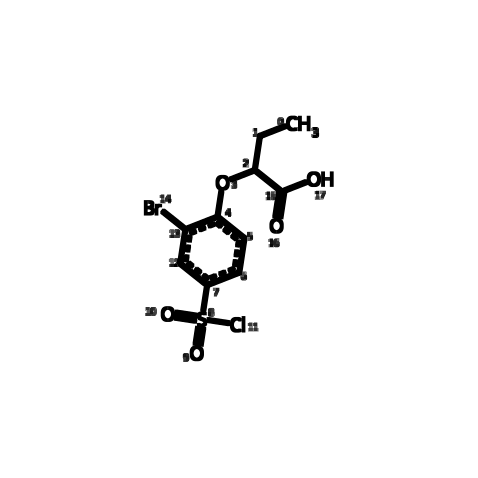 CCC(Oc1ccc(S(=O)(=O)Cl)cc1Br)C(=O)O